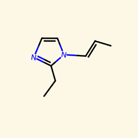 C/C=C/n1ccnc1CC